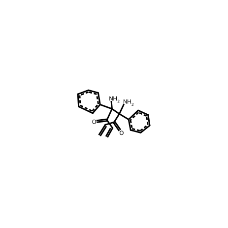 C=CC(=O)C(N)(c1ccccc1)C(N)(C(=O)C=C)c1ccccc1